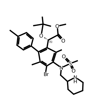 COC(=O)[C@@H](OC(C)(C)C)c1c(C)c(N(CC2CCCCN2)S(C)(=O)=O)c(Br)c(C)c1-c1ccc(C)cc1